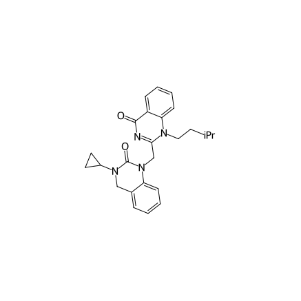 CC(C)CCn1c(CN2C(=O)N(C3CC3)Cc3ccccc32)nc(=O)c2ccccc21